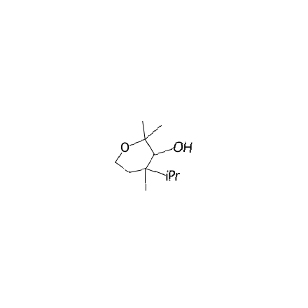 CC(C)C1(C)CCOC(C)(C)C1O